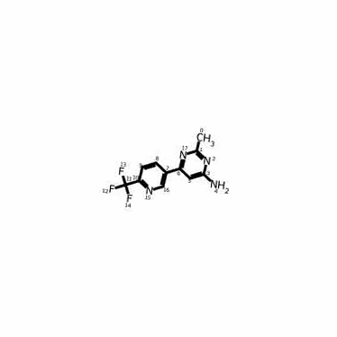 Cc1nc(N)cc(-c2ccc(C(F)(F)F)nc2)n1